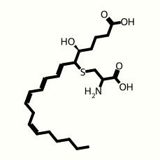 CCCCC/C=C\C\C=C/C=C/C=C/C(SCC(N)C(=O)O)[C@@H](O)CCCC(=O)O